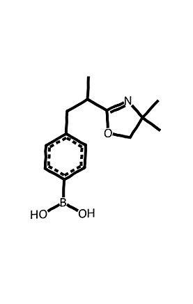 CC(Cc1ccc(B(O)O)cc1)C1=NC(C)(C)CO1